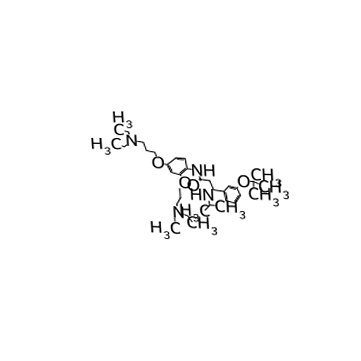 CCN(CC)CCCOc1ccc(NC(=O)CC(NC(C)C)c2cccc(OC(C)(C)C)c2)c(OCCCN(CC)CC)c1